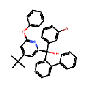 CC(C)(C)c1cc(Oc2ccccc2)nc(C(O)(c2cccc(Br)c2)c2ccccc2-c2ccccc2)c1